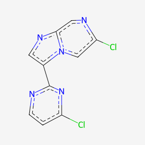 Clc1cn2c(-c3nccc(Cl)n3)cnc2cn1